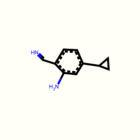 N=Cc1ccc(C2CC2)cc1N